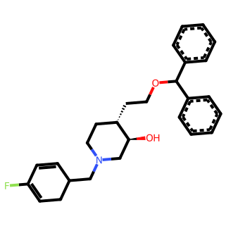 O[C@H]1CN(CC2C=CC(F)=CC2)CC[C@@H]1CCOC(c1ccccc1)c1ccccc1